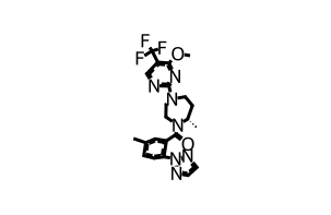 COc1nc(N2CC[C@H](C)N(C(=O)c3cc(C)ccc3-n3nccn3)CC2)ncc1C(F)(F)F